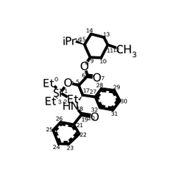 CC[Si](CC)(CC)OC(C(=O)OC1CC(C)CC[C@@H]1C(C)C)[C@@H](NC(=O)c1ccccc1)c1ccccc1